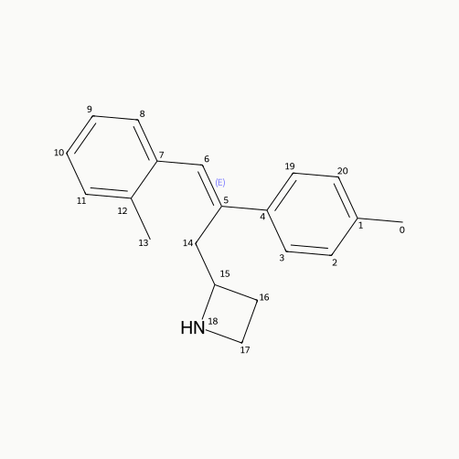 Cc1ccc(/C(=C/c2ccccc2C)CC2CCN2)cc1